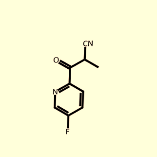 CC(C#N)C(=O)c1ccc(F)cn1